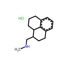 CNCC1CCc2cccc3c2C1CCC3.Cl